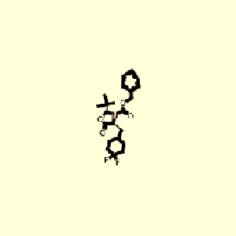 CC(C)(C)[C@@H]1OC(=O)[C@H](CC2CCC(F)(F)CC2)N1C(=O)OCc1ccccc1